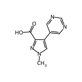 Cn1cc(-c2cncnc2)c(C(=O)O)n1